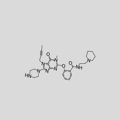 CC#CCn1c(N2CCNCC2)nc2nc(Oc3ccccc3C(=O)NCCN3CCCCC3)n(C)c(=O)c21